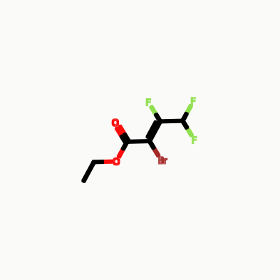 CCOC(=O)/C(Br)=C(\F)C(F)F